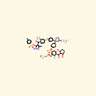 CCOC(=O)C1=NOC(c2ccccc2)(c2ccccc2)C1.CS(=O)(=O)c1ccc(C(=O)C2C(=O)CCCC2=O)c(Cl)c1COCC(F)(F)F.Cc1ccc(S(=O)(=O)Oc2c(C(=O)c3ccc(Cl)cc3Cl)c(C)nn2C)cc1